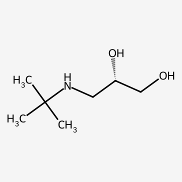 CC(C)(C)NC[C@H](O)CO